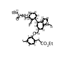 CCOC(=O)Cc1ccc(C)cc1OCc1cc(-c2ccnc(CN[S@@+]([O-])C(C)(C)C)c2F)c2ccn(C)c2c1